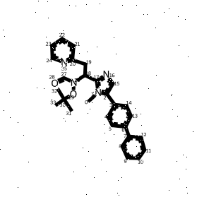 Cn1c(-c2ccc(-c3ccccc3)cc2)cnc1C(Cc1ccccn1)N(C=O)OC(C)(C)C